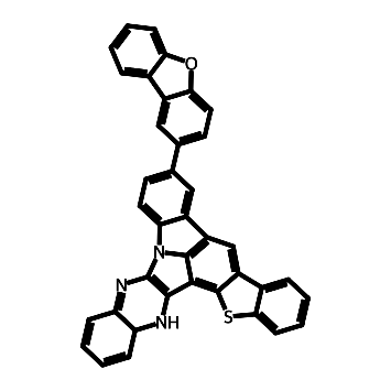 C1=CC2=Nc3c(c4c5sc6ccccc6c5cc5c6cc(-c7ccc8oc9ccccc9c8c7)ccc6n3c54)NC2C=C1